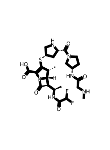 CNCC(=O)N[C@H]1CCN(C(=O)[C@@H]2C[C@H](SC3=C(C(=O)O)N4C(=O)[C@H]([C@@H](C)NC(=O)C(F)F)[C@H]4[C@H]3C)CN2)C1